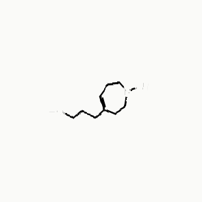 CN1CCC=C(CCCO)CC1